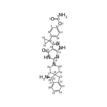 NC(=O)Oc1ccc(C2(c3n[nH]c4nc(N5CCC6(CC5)Cc5ccccc5[C@H]6N)[nH]c(=O)c34)CC2)cc1